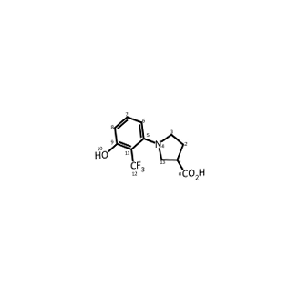 O=C(O)C1CCN(c2cccc(O)c2C(F)(F)F)C1